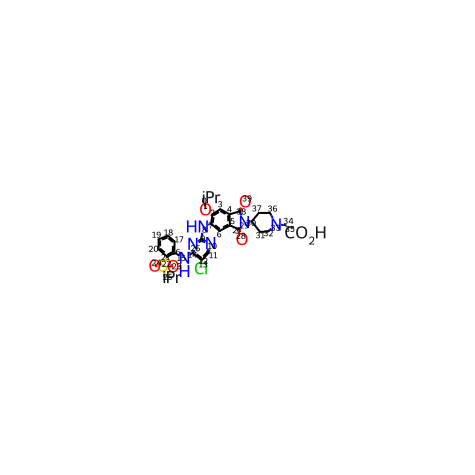 CC(C)Oc1cc2c(cc1Nc1ncc(Cl)c(Nc3ccccc3S(=O)(=O)C(C)C)n1)C(=O)N(C1CCN(CC(=O)O)CC1)C2=O